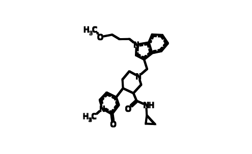 COCCCn1cc(CN2CCC(c3ccn(C)c(=O)c3)C(C(=O)NC3CC3)C2)c2ccccc21